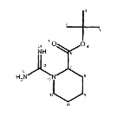 CC(C)(C)OC(=O)C1CCCCN1C(=N)N